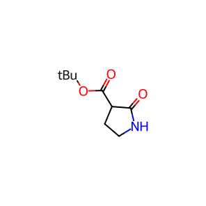 CC(C)(C)OC(=O)C1CCNC1=O